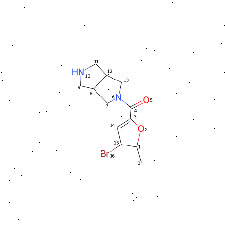 CC1OC(C(=O)N2CC3CNCC3C2)=CC1Br